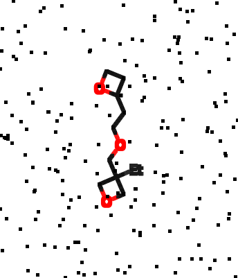 CCC1(COCC[C]2CCO2)COC1